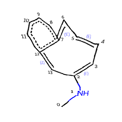 CNC1=C/C=C/C=c2\cccc\c2=C\1